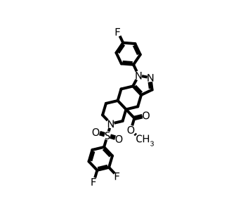 COC(=O)C12Cc3cnn(-c4ccc(F)cc4)c3CC1CCN(S(=O)(=O)c1ccc(F)c(F)c1)C2